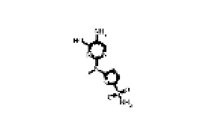 CN(c1ncc(N)c(O)n1)c1ccc(S(N)(=O)=O)s1